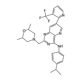 CC1CN(Cc2nc(Nc3ccc(C(C)C)cc3)c3ncc(-c4ncccc4C(F)(F)F)cc3n2)CC(C)O1